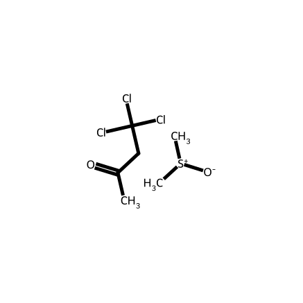 CC(=O)CC(Cl)(Cl)Cl.C[S+](C)[O-]